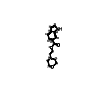 O=C(OCCN1CCOCC1)c1ccc2[c]c[nH]c2c1